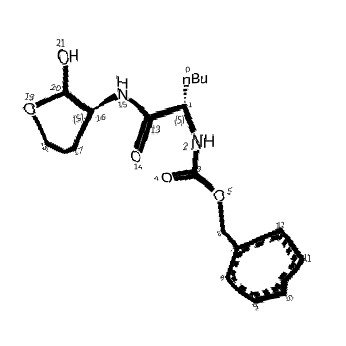 CCCC[C@H](NC(=O)OCc1ccccc1)C(=O)N[C@H]1CCOC1O